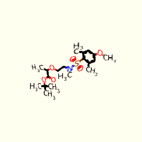 COc1cc(C)c(S(=O)(=O)N(C)CCOC(C)C(=O)OC(C)(C)C)c(C)c1